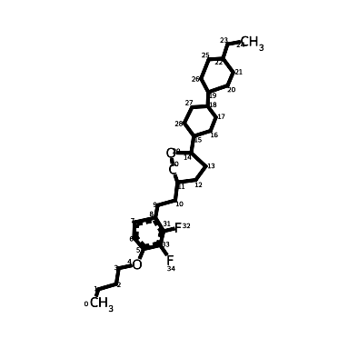 CCCCOc1ccc(CCC2CCC(C3CCC(C4CCC(CC)CC4)CC3)OC2)c(F)c1F